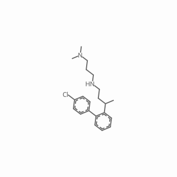 CC(CCNCCCN(C)C)c1ccccc1-c1ccc(Cl)cc1